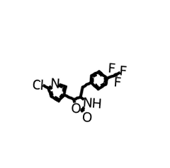 O=C1NC(Cc2ccc(C(F)(F)F)cc2)C(c2ccc(Cl)nc2)O1